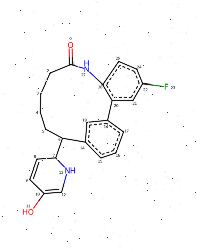 O=C1CCCCC(C2C=CC(O)=CN2)c2cccc(c2)-c2cc(F)ccc2N1